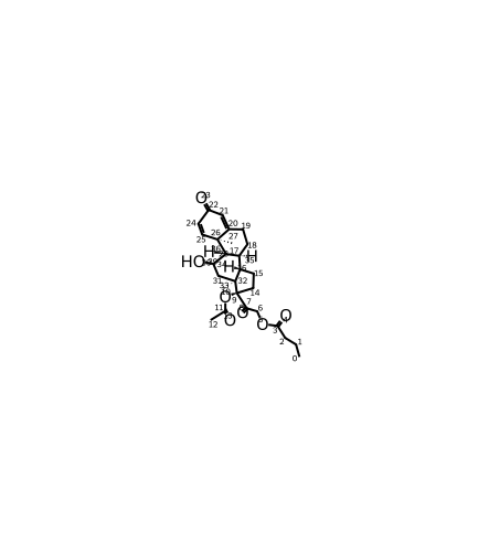 CCCC(=O)OCC(=O)[C@@]1(OC(C)=O)CC[C@H]2[C@@H]3CCC4=CC(=O)C=C[C@]4(C)[C@H]3C(O)C[C@@]21C